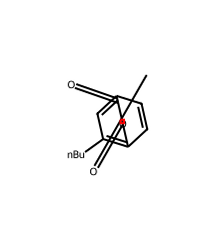 CCCCc1cc2ccc1c(=O)oc2=O